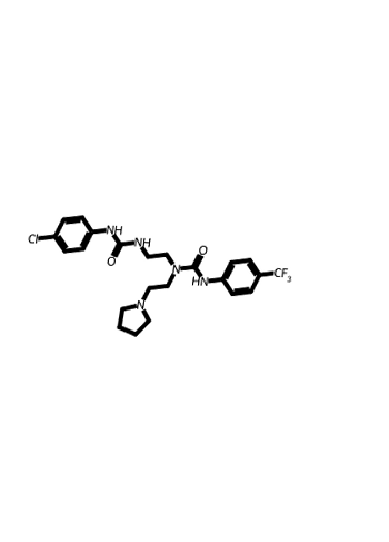 O=C(NCCN(CCN1CCCC1)C(=O)Nc1ccc(C(F)(F)F)cc1)Nc1ccc(Cl)cc1